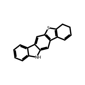 C1=Cc2c(sc3cc4c(cc23)[nH]c2ccccc24)CC1